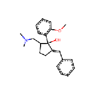 COc1ccccc1C1(O)C(=Cc2ccccc2)CCC1CN(C)C